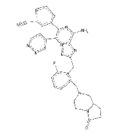 N#Cc1cccc(-c2nc(N)c3nc(Cc4c(F)cccc4CN4CCN5C(=O)CCC5C4)nn3c2-c2ccnnc2)c1